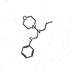 CCCN(CSc1ccccc1)N1CCOCC1